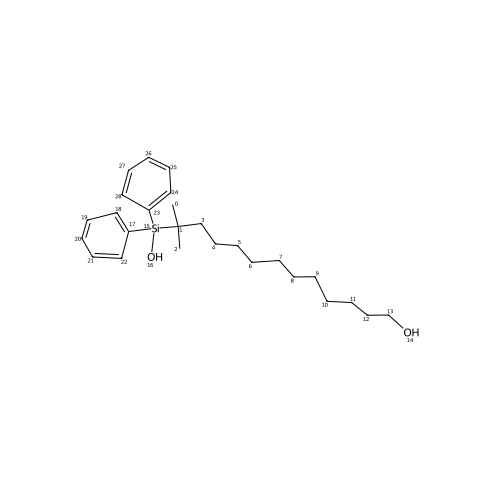 CC(C)(CCCCCCCCCCCO)[Si](O)(c1ccccc1)c1ccccc1